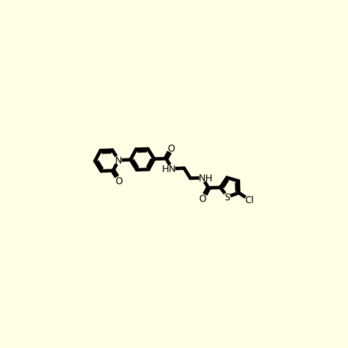 O=C(NCCNC(=O)c1ccc(Cl)s1)c1ccc(-n2ccccc2=O)cc1